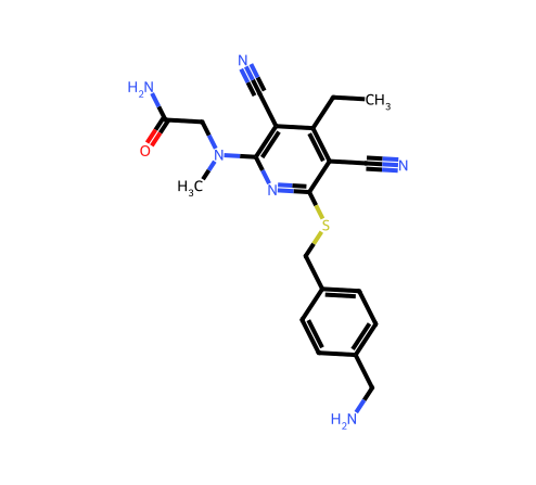 CCc1c(C#N)c(SCc2ccc(CN)cc2)nc(N(C)CC(N)=O)c1C#N